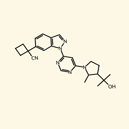 CC1C(C(C)(C)O)CCN1c1cc(-n2ncc3ccc(C4(C#N)CCC4)cc32)ncn1